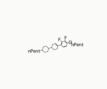 CCCCCOc1ccc(C2=CCC(C3CCC(CCCCC)CC3)CC2)c(F)c1F